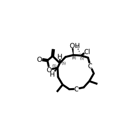 C=C1C(=O)O[C@H]2CC(C)CCCC(C)CCC[C@](C)(Cl)[C@H](O)C[C@@H]12